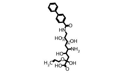 C=CCOC(O)(CC(O)C(N)C[C@@H](O)[C@H](O)CNC(=O)c1ccc(-c2ccccc2)cc1)C(=O)O